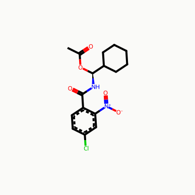 CC(=O)O[C@H](NC(=O)c1ccc(Cl)cc1[N+](=O)[O-])C1CCCCC1